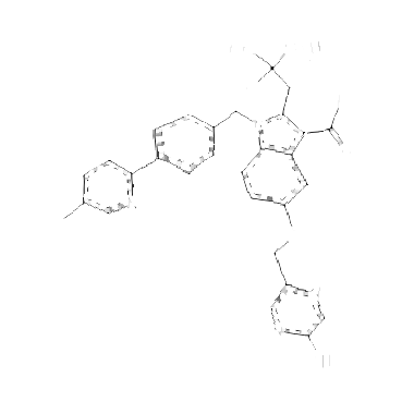 CCC(=O)c1c(CC(C)(C)C(=O)O)n(Cc2ccc(-c3ccc(F)cn3)cc2)c2ccc(OCc3cnc(C)cn3)cc12